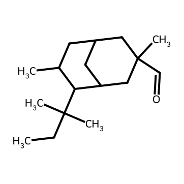 CCC(C)(C)C1C(C)CC2CC1CC(C)(C=O)C2